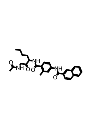 CCCCC(NC(=O)c1ccc(NC(=O)c2ccc3ccccc3c2)cc1C)C(=O)CNC(C)=O